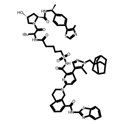 Cc1ncsc1-c1ccc([C@H](C)NC(=O)[C@@H]2C[C@@H](O)CN2C(=O)C(NC(=O)CCCCS(=O)(=O)NC(=O)c2nc(N3CCc4cccc(C(=O)Nc5nc6ccccc6s5)c4C3)ccc2-c2cnn(CC34CC5CC(CC(C5)C3)C4)c2C)C(C)(C)C)cc1